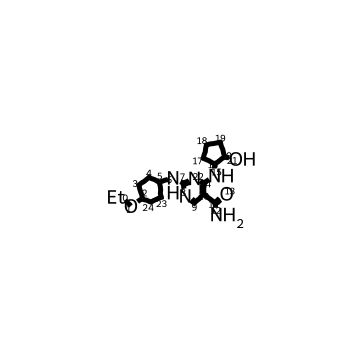 CCOC1CCC(Nc2ncc(C(N)=O)c(NC3CCCC3O)n2)CC1